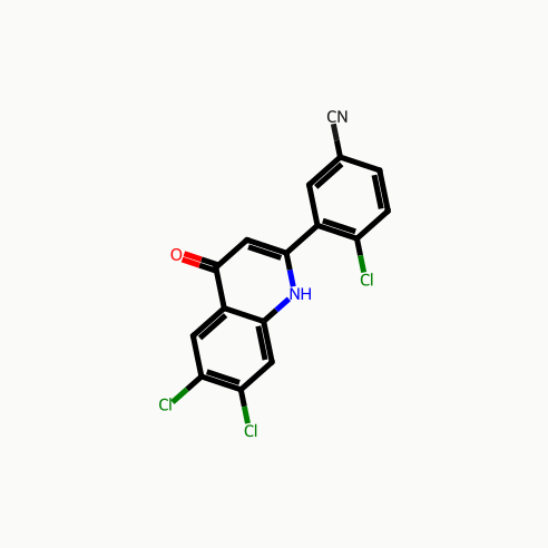 N#Cc1ccc(Cl)c(-c2cc(=O)c3cc(Cl)c(Cl)cc3[nH]2)c1